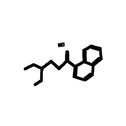 CCN(CC)CCC(=O)c1cccc2ccccc12.Cl